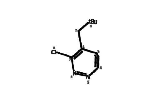 CC(C)(C)Cc1ccnnc1Cl